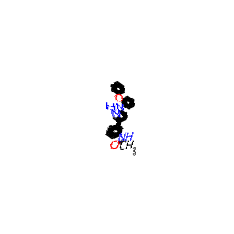 CC(=O)Nc1cccc(-c2ccc(Nc3ccccc3Oc3ccccc3)nc2)c1